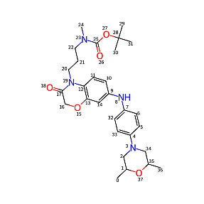 CC1CN(c2ccc(Nc3ccc4c(c3)OCC(=O)N4CCCN(C)C(=O)OC(C)(C)C)cc2)CC(C)O1